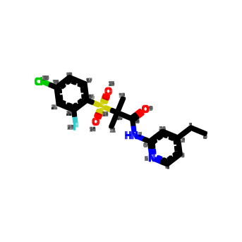 CCc1ccnc(NC(=O)C(C)(C)S(=O)(=O)c2ccc(Cl)cc2F)c1